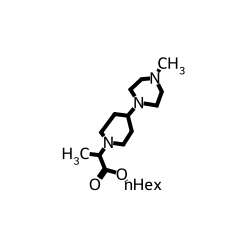 CCCCCCOC(=O)C(C)N1CCC(N2CCN(C)CC2)CC1